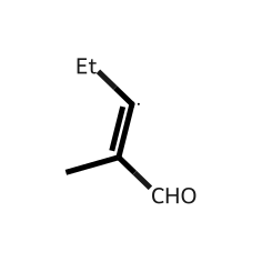 CC/[C]=C(\C)C=O